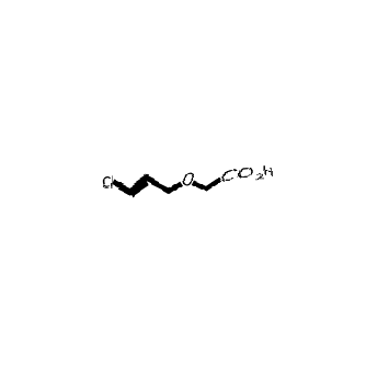 O=C(O)COCC=CCl